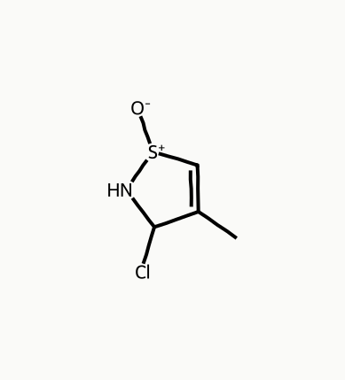 CC1=C[S+]([O-])NC1Cl